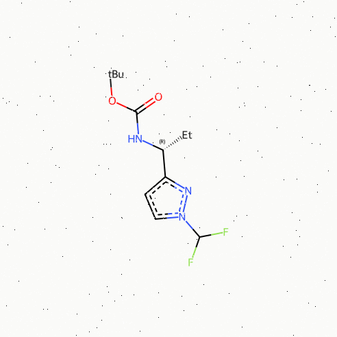 CC[C@@H](NC(=O)OC(C)(C)C)c1ccn(C(F)F)n1